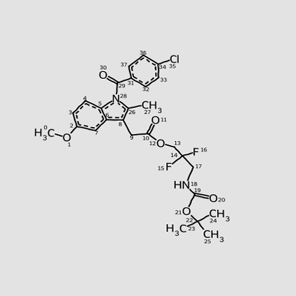 COc1ccc2c(c1)c(CC(=O)OCC(F)(F)CNC(=O)OC(C)(C)C)c(C)n2C(=O)c1ccc(Cl)cc1